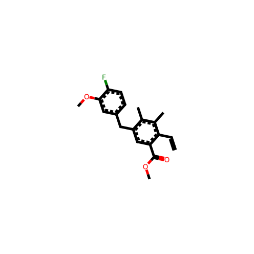 C=Cc1c(C(=O)OC)cc(Cc2ccc(F)c(OC)c2)c(C)c1C